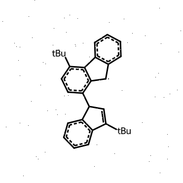 CC(C)(C)C1=CC(c2ccc(C(C)(C)C)c3c2[CH]c2ccccc2-3)c2ccccc21